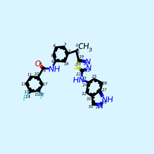 CC(c1cccc(NC(=O)c2ccc(F)c(F)c2)c1)c1nnc(Nc2ccc3[nH]ncc3c2)s1